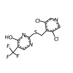 Oc1nc(SCc2c(Cl)cncc2Cl)ncc1C(F)(F)F